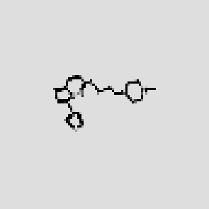 CN1CCN(CCCOc2ccc3ncc(-c4ccsc4)n3n2)CC1